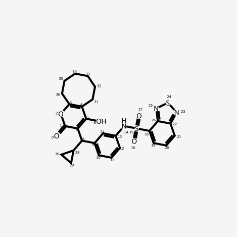 O=c1oc2c(c(O)c1C(c1cccc(NS(=O)(=O)c3cccc4nsnc34)c1)C1CC1)CCCCCC2